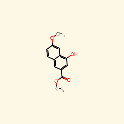 COC(=O)c1cc(O)c2cc(OC)ccc2c1